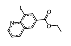 CCOC(=O)c1cc(I)c2ncccc2c1